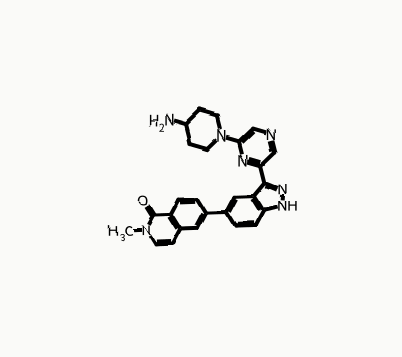 Cn1ccc2cc(-c3ccc4[nH]nc(-c5cncc(N6CCC(N)CC6)n5)c4c3)ccc2c1=O